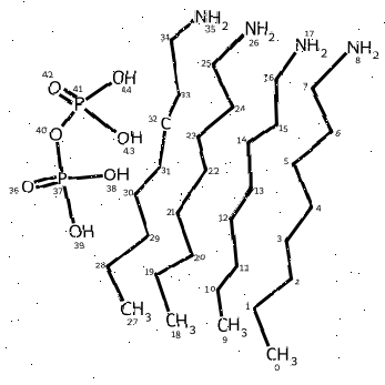 CCCCCCCCN.CCCCCCCCN.CCCCCCCCN.CCCCCCCCN.O=P(O)(O)OP(=O)(O)O